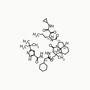 CCC[C@H](NC(=O)[C@@H]1C[C@@H]2CCCC[C@@H]2N1C(=O)[C@@H](NC(=O)[C@@H](NC(=O)c1cc(C(C)(C)C)n[nH]1)C1CCCCC1)C(C)(C)C)C(=O)C(=O)NC1CC1